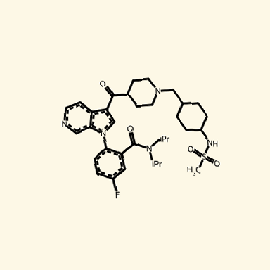 CC(C)N(C(=O)c1cc(F)ccc1-n1cc(C(=O)C2CCN(CC3CCC(NS(C)(=O)=O)CC3)CC2)c2ccncc21)C(C)C